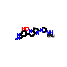 Cn1cc2cc(-c3ccc4nc(N5CCC(NC(C)(C)C)C5)ccc4n3)c(O)cc2n1